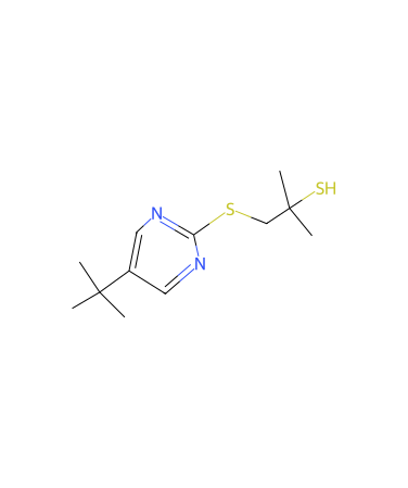 CC(C)(S)CSc1ncc(C(C)(C)C)cn1